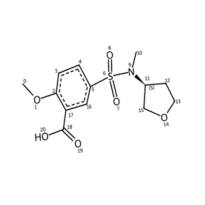 COc1ccc(S(=O)(=O)N(C)[C@H]2CCOC2)cc1C(=O)O